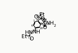 CCC(=O)NNc1ccc(S(=O)(=O)CC)c(S(N)(=O)=O)c1